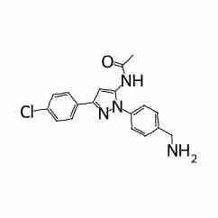 CC(=O)Nc1cc(-c2ccc(Cl)cc2)nn1-c1ccc(CN)cc1